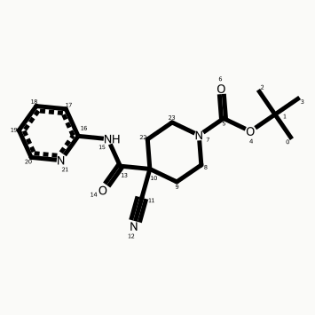 CC(C)(C)OC(=O)N1CCC(C#N)(C(=O)Nc2ccccn2)CC1